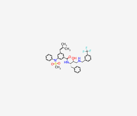 CC(C)=Cc1cc(C(=O)N[C@@H](Cc2ccccc2)[C@@H](O)CNCc2cccc(C(F)(F)F)c2)cc(N(c2ccccc2)S(C)(=O)=O)c1